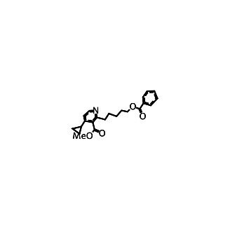 COC(=O)c1c(C2CC2)ccnc1CCCCCOC(=O)c1ccccc1